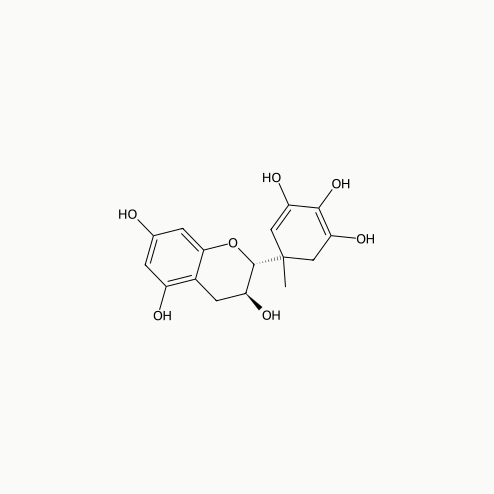 CC1([C@H]2Oc3cc(O)cc(O)c3C[C@@H]2O)C=C(O)C(O)=C(O)C1